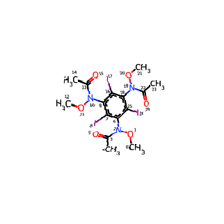 CON(C(C)=O)c1c(I)c(N(OC)C(C)=O)c(I)c(N(OC)C(C)=O)c1I